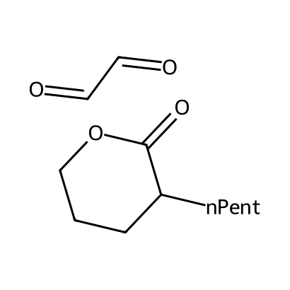 CCCCCC1CCCOC1=O.O=CC=O